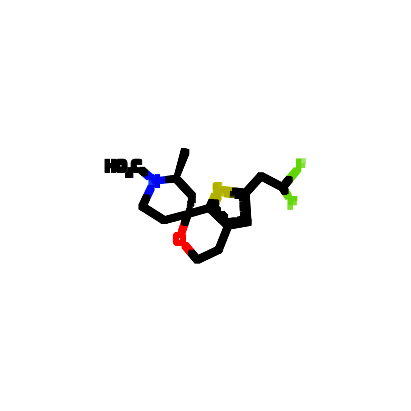 C[C@H]1C[C@@]2(CCN1C(=O)O)OCCc1cc(CC(F)F)sc12